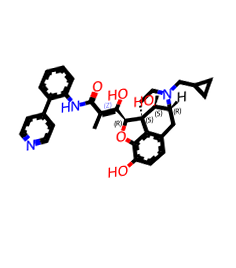 C/C(C(=O)Nc1ccccc1-c1ccncc1)=C(/O)[C@@H]1Oc2c(O)ccc3c2[C@@]12CCN(CC1CC1)[C@H](C3)[C@@]2(C)O